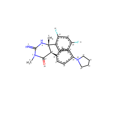 CN1C(=N)N[C@](C)(c2ccc(F)cc2F)[C@@H](c2ccc(N3CCCC3)cc2)C1=O